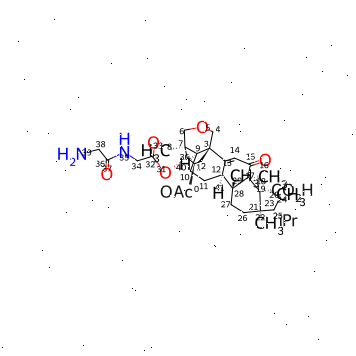 CC(=O)O[C@@H]1C[C@]23COC[C@@](C)([C@@H]2CC[C@H]2C3=CC(=O)[C@@]3(C)[C@H](C(=O)O)[C@@](C)([C@H](C)C(C)C)CC[C@]23C)[C@H]1OC(=O)CNC(=O)CN